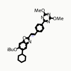 COc1nc(OC)nc(-c2ccc(/C=C/c3nc4cc(C5CCCCC5)c(OCC(C)C)cc4o3)cc2)n1